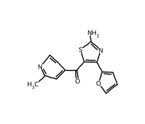 Cc1cc(C(=O)c2sc(N)nc2-c2ccco2)ccn1